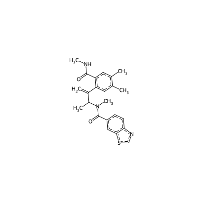 C=C(c1cc(C)c(C)cc1C(=O)NC)C(C)N(C)C(=O)c1ccc2ncsc2c1